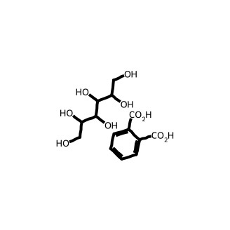 O=C(O)c1ccccc1C(=O)O.OCC(O)C(O)C(O)C(O)CO